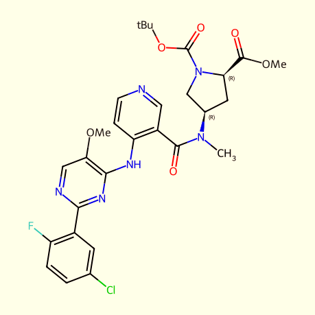 COC(=O)[C@H]1C[C@@H](N(C)C(=O)c2cnccc2Nc2nc(-c3cc(Cl)ccc3F)ncc2OC)CN1C(=O)OC(C)(C)C